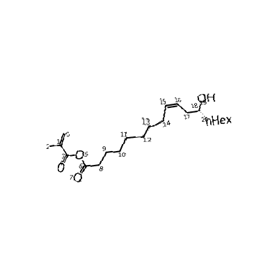 C=C(C)C(=O)OC(=O)CCCCCCC/C=C\C[C@H](O)CCCCCC